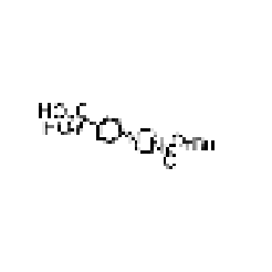 CC(C)(C)OC(=O)N1CCN(c2ccc(C(=CO)C(=O)O)cc2)CC1